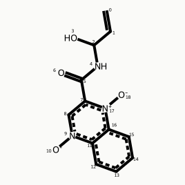 C=CC(O)NC(=O)c1c[n+]([O-])c2ccccc2[n+]1[O-]